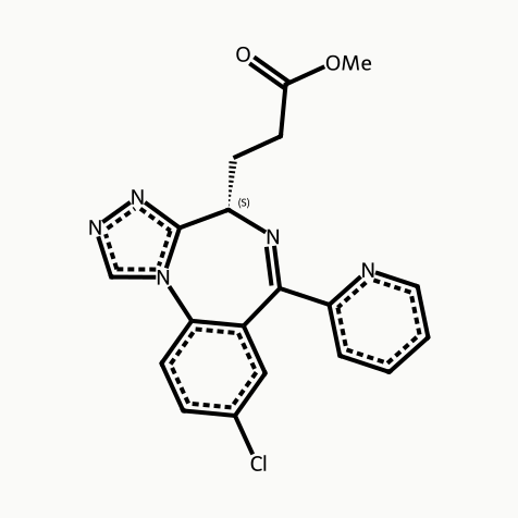 COC(=O)CC[C@@H]1N=C(c2ccccn2)c2cc(Cl)ccc2-n2cnnc21